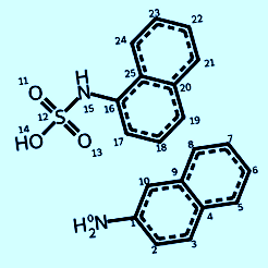 Nc1ccc2ccccc2c1.O=S(=O)(O)Nc1cccc2ccccc12